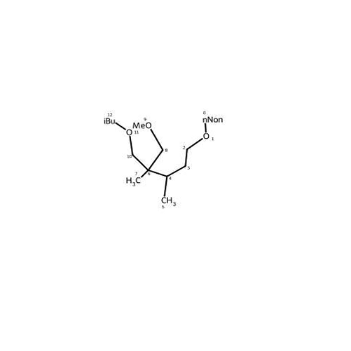 CCCCCCCCCOCCC(C)C(C)(COC)COC(C)CC